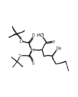 CCCC(O)CC(C(=O)O)N(C(=O)OC(C)(C)C)C(=O)OC(C)(C)C